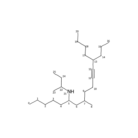 CCCCCC(CC(C)CCC#CC(CCC)CCCC)NC(C)CC